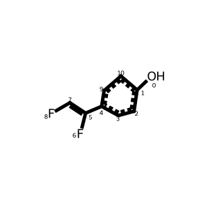 Oc1ccc(C(F)=CF)cc1